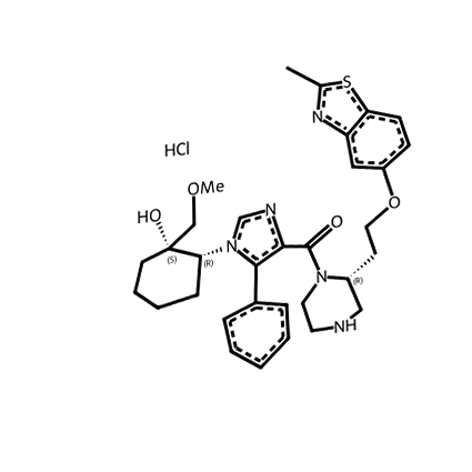 COC[C@]1(O)CCCC[C@H]1n1cnc(C(=O)N2CCNC[C@H]2CCOc2ccc3sc(C)nc3c2)c1-c1ccccc1.Cl